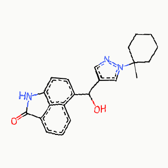 CC1(n2cc(C(O)c3ccc4c5c(cccc35)C(=O)N4)cn2)CCCCC1